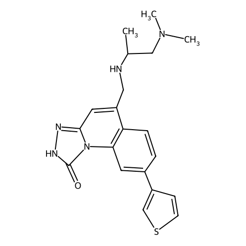 CC(CN(C)C)NCc1cc2n[nH]c(=O)n2c2cc(-c3ccsc3)ccc12